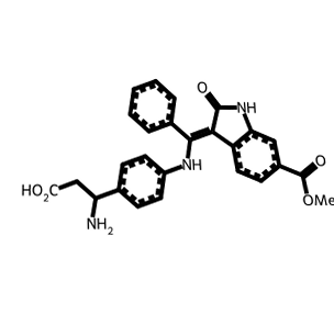 COC(=O)c1ccc2c(c1)NC(=O)C2=C(Nc1ccc(C(N)CC(=O)O)cc1)c1ccccc1